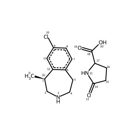 C[C@@H]1CNCCc2ccc(Cl)cc21.O=C1CCC(C(=O)O)N1